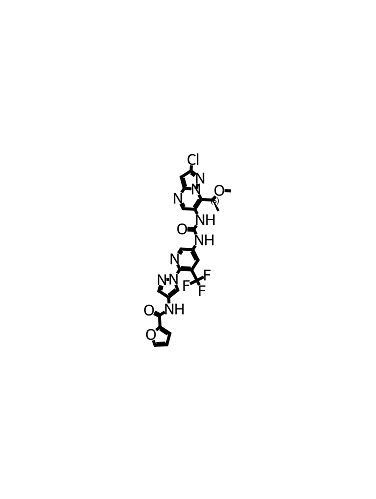 CO[C@@H](C)c1c(NC(=O)Nc2cnc(-n3cc(NC(=O)c4ccco4)cn3)c(C(F)(F)F)c2)cnc2cc(Cl)nn12